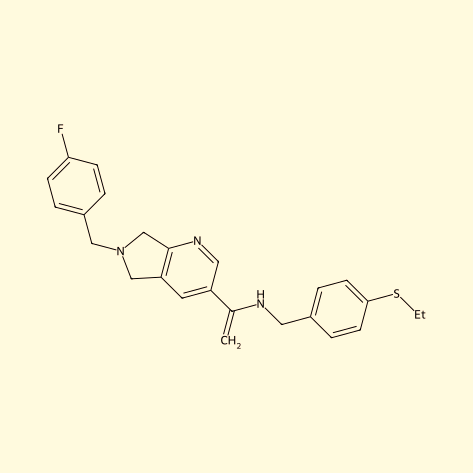 C=C(NCc1ccc(SCC)cc1)c1cnc2c(c1)CN(Cc1ccc(F)cc1)C2